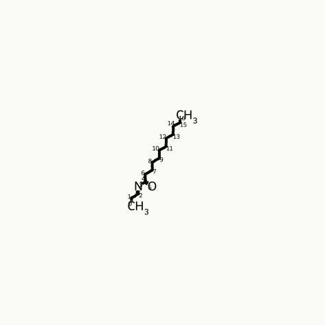 CCC=NC(=O)CCCCCCCCCCC